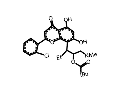 CCC(c1c(O)cc(O)c2c(=O)cc(-c3ccccc3Cl)oc12)C(CNC)OC(=O)C(C)(C)C